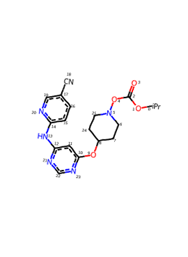 CC(C)OC(=O)ON1CCC(Oc2cc(Nc3ccc(C#N)cn3)ncn2)CC1